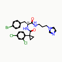 O=C(NCCCn1ccnc1)[C@H](Cc1ccc(Br)cc1)NC(=O)C1(c2ccc(Cl)cc2Cl)CC1